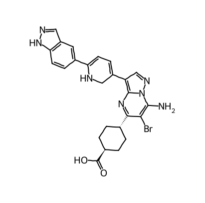 Nc1c(Br)c([C@H]2CC[C@H](C(=O)O)CC2)nc2c(C3=CC=C(c4ccc5[nH]ncc5c4)NC3)cnn12